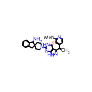 C=C(c1ccnc(NC)c1)c1n[nH]c2nc(N3CCC4(CC3)Cc3ccccc3[C@H]4N)[nH]c(=O)c12